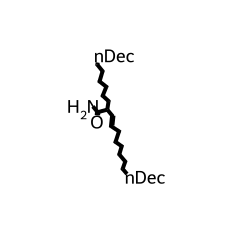 CCCCCCCCCCCCCCCCC=CC(CCCCCCCCCCCCCCCC)C(N)=O